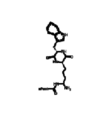 CCCCCC(=O)NC(N)CCC[C@H]1NC(=O)[C@H](Cc2c[nH]c3ccccc23)NC1=O